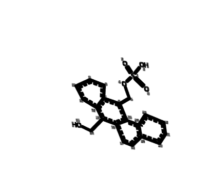 O=S(=O)(O)OCc1c2ccccc2c(CO)c2ccc3ccccc3c12